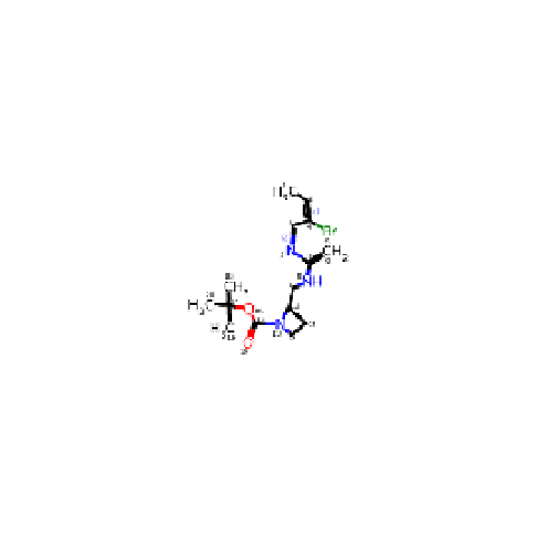 C=C(/N=C\C(Br)=C/C)NCC1CCN1C(=O)OC(C)(C)C